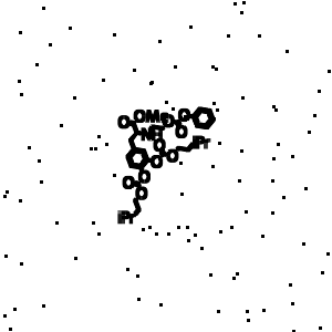 COC(=O)[C@H](Cc1ccc(OC(=O)OCCC(C)C)c(OC(=O)OCCC(C)C)c1)NCCOC(=O)Oc1ccccc1